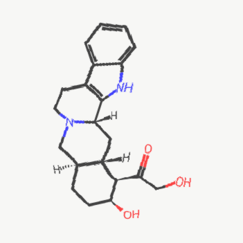 O=C(CO)[C@@H]1[C@H]2C[C@H]3c4[nH]c5ccccc5c4CCN3C[C@@H]2CC[C@@H]1O